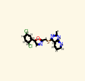 Cc1nc(SCc2ncc(-c3cc(Cl)ccc3Cl)o2)c2cccnc2n1